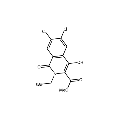 COC(=O)c1c(O)c2cc(Cl)c(Cl)cc2c(=O)n1CC(C)(C)C